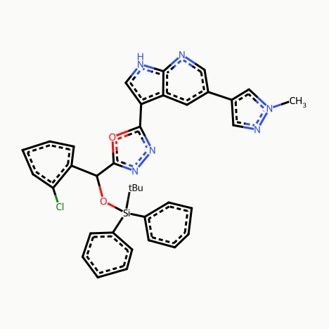 Cn1cc(-c2cnc3[nH]cc(-c4nnc(C(O[Si](c5ccccc5)(c5ccccc5)C(C)(C)C)c5ccccc5Cl)o4)c3c2)cn1